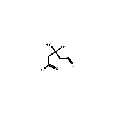 CC(O)(C[C]=O)CC([O])=O